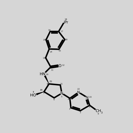 Cc1ccc(N2C[C@@H](O)[C@@H](NC(=O)Cc3ccc(C(C)C)cc3)C2)nn1